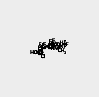 CC(NC(=O)c1ccc(/C(F)=C/C(c2cc(O)cc(Cl)c2)C(F)(F)F)cc1C(F)(F)F)C(=O)NCC(F)(F)F